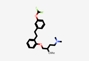 COC(CCN(C)C)COc1ccccc1CCc1cccc(OC(F)F)c1